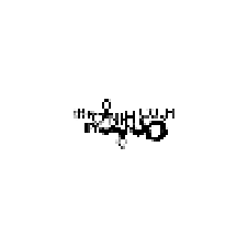 CC(C)CC(NC(=O)OC(C)(C)C)C(=O)NCC1(CC(=O)O)CCCCC1